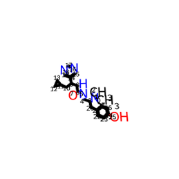 CN(C)C(CNC(=O)CC(CC1CC1)c1cncnc1)Cc1ccc(O)cc1